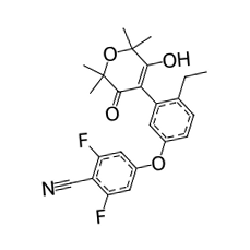 CCc1ccc(Oc2cc(F)c(C#N)c(F)c2)cc1C1=C(O)C(C)(C)OC(C)(C)C1=O